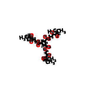 CC1(C)COC1C(=O)CCOC(=O)c1cc(C(=O)OCCC(=O)C2OCC2(C)C)cc(C(=O)OCCC(=O)C2OCC2(C)C)c1